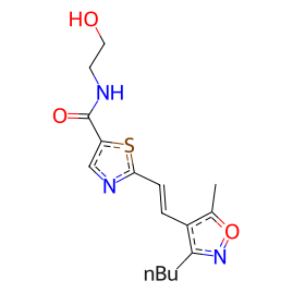 CCCCc1noc(C)c1/C=C/c1ncc(C(=O)NCCO)s1